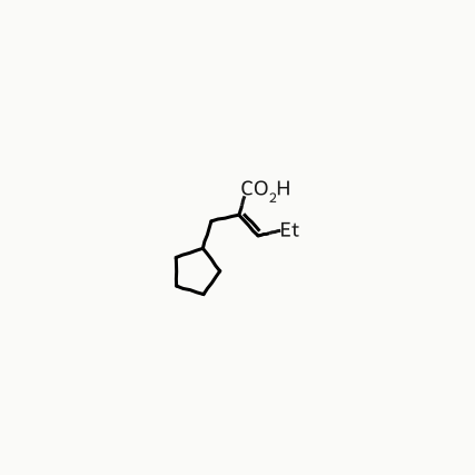 CCC=C(CC1CCCC1)C(=O)O